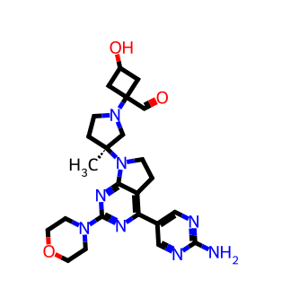 C[C@]1(N2CCc3c(-c4cnc(N)nc4)nc(N4CCOCC4)nc32)CCN(C2(C=O)CC(O)C2)C1